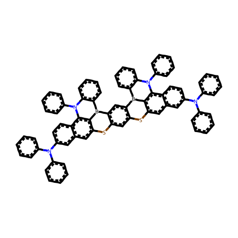 c1ccc(N(c2ccccc2)c2ccc3c4c5c(cc3c2)Sc2cc3c(cc2B5c2ccccc2N4c2ccccc2)B2c4ccccc4N(c4ccccc4)c4c2c(cc2cc(N(c5ccccc5)c5ccccc5)ccc42)S3)cc1